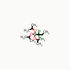 CCC(Br)(Br)[Si](OC(C)C)(OC(C)C)OC(C)C